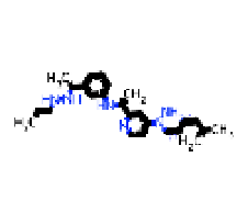 C=C(C)/C=C\C=C/N(N)c1ccnc(C(=C)Nc2cccc(C(C)NNCCC)c2)c1